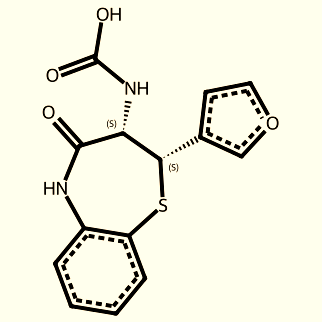 O=C(O)N[C@H]1C(=O)Nc2ccccc2S[C@H]1c1ccoc1